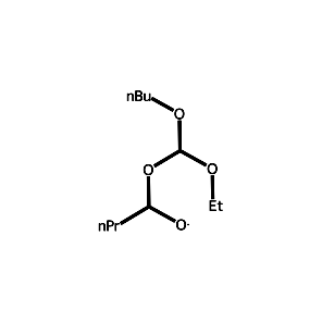 CCCCOC(OCC)OC([O])CCC